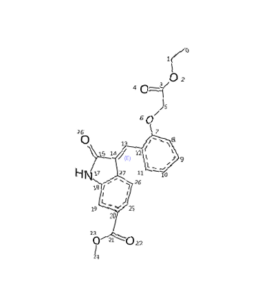 CCOC(=O)COc1ccccc1/C=C1/C(=O)Nc2cc(C(=O)OC)ccc21